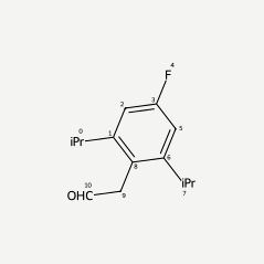 CC(C)c1cc(F)cc(C(C)C)c1CC=O